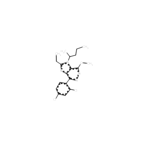 CCCC(C)n1c(CC)nc2c(-c3ccc(Cl)cc3Cl)nnc(OC)c21